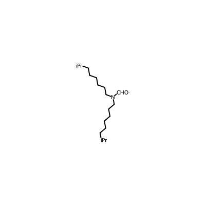 CC(C)CCCCCCN([C]=O)CCCCCCC(C)C